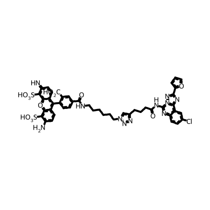 N=c1ccc2c(-c3ccc(C(=O)NCCCCCCn4cc(CCCC(=O)Nc5nc6ccc(Cl)cc6c6nc(-c7ccco7)nn56)nn4)cc3C(=O)O)c3ccc(N)c(S(=O)(=O)O)c3oc-2c1S(=O)(=O)O